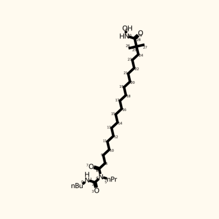 CCCCNC(=O)N(CCC)C(=O)CCCCCCCCCCCCCCCCCC(C)(C)C(=O)NO